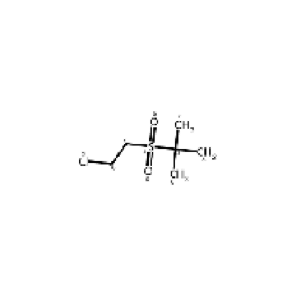 CC(C)(C)S(=O)(=O)CCCl